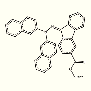 CCCCCOC(=O)c1ccc2c(c1)-c1ccccc1/C2=N/N(c1ccc2ccccc2c1)c1ccc2ccccc2c1